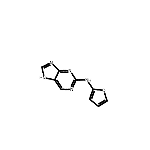 c1coc(Nc2ncc3[nH]cnc3n2)c1